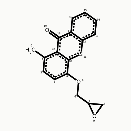 Cc1ccc(OCC2CO2)c2sc3ccccc3c(=O)c12